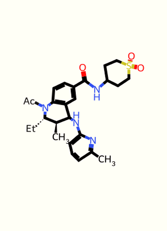 CC[C@H]1[C@H](C)C(Nc2cccc(C)n2)c2cc(C(=O)NC3CCS(=O)(=O)CC3)ccc2N1C(C)=O